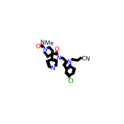 CNC(=O)N1CCC2(CC1)C(=O)N(Cc1cc3cc(Cl)ccc3n1CCCC#N)c1cnccc12